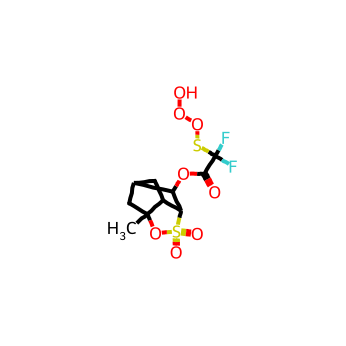 CC12CC3CC1C(C3OC(=O)C(F)(F)SOOO)S(=O)(=O)O2